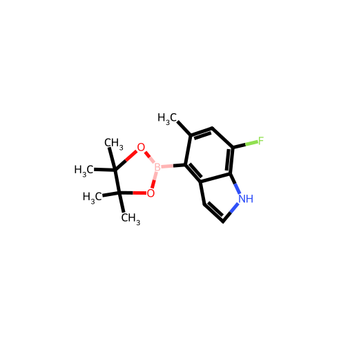 Cc1cc(F)c2[nH]ccc2c1B1OC(C)(C)C(C)(C)O1